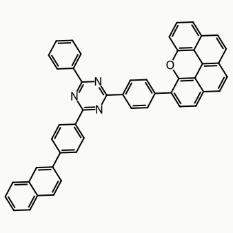 c1ccc(-c2nc(-c3ccc(-c4ccc5ccccc5c4)cc3)nc(-c3ccc(-c4ccc5ccc6ccc7cccc8c7c6c5c4O8)cc3)n2)cc1